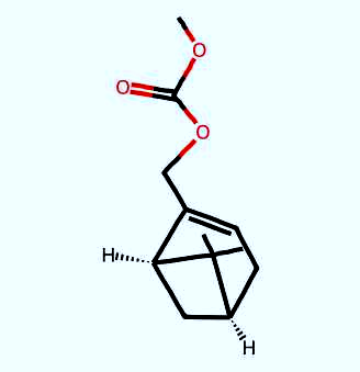 COC(=O)OCC1=CC[C@H]2C[C@@H]1C2(C)C